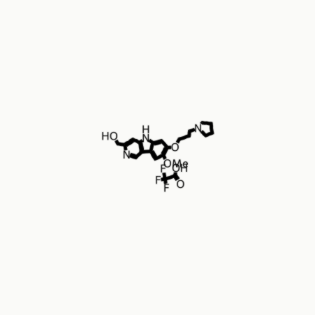 COc1cc2c(cc1OCCCN1CCCC1)[nH]c1cc(CO)ncc12.O=C(O)C(F)(F)F